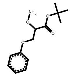 CC(C)(C)OC(=O)C(COc1ccccc1)ON